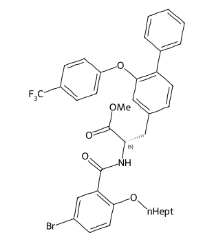 CCCCCCCOc1ccc(Br)cc1C(=O)N[C@@H](Cc1ccc(-c2ccccc2)c(Oc2ccc(C(F)(F)F)cc2)c1)C(=O)OC